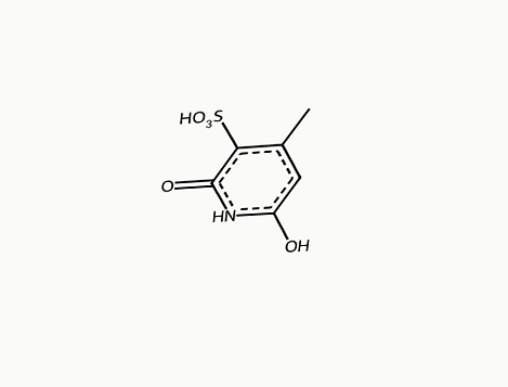 Cc1cc(O)[nH]c(=O)c1S(=O)(=O)O